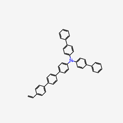 C=Cc1ccc(-c2ccc(-c3ccc(N(c4ccc(-c5ccccc5)cc4)c4ccc(-c5ccccc5)cc4)cc3)cc2)cc1